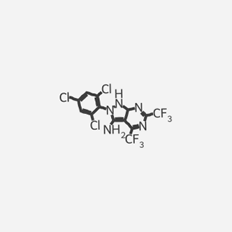 NC1=C2C(C(F)(F)F)=NC(C(F)(F)F)=NC2NN1c1c(Cl)cc(Cl)cc1Cl